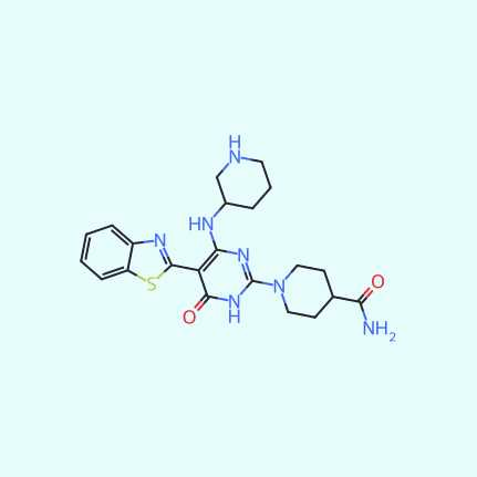 NC(=O)C1CCN(c2nc(NC3CCCNC3)c(-c3nc4ccccc4s3)c(=O)[nH]2)CC1